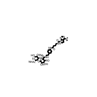 CC[C@@H](NC(C)=O)C(OC1OC(C(=O)NCCc2ccc(NC(=O)CCCNC(=O)n3ccc4c(N(C)C)ncnc43)cc2)C(N=O)C(O)C1O)C(O)C(CO)OC